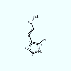 CCOC=Cc1s[c]nc1C